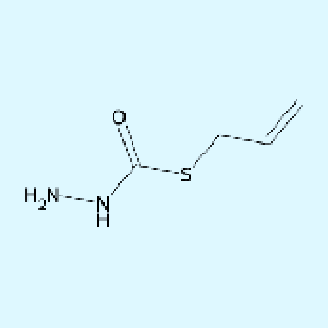 C=CCSC(=O)NN